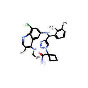 Cc1c(C#N)cccc1[C@H](Nc1cc(Cl)c2ncc(C#N)c(NCC(C)(C)C)c2c1)c1cn(C2(C(N)=O)CCC2)nn1